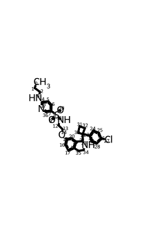 CCCNc1ccc(S(=O)(=O)NCCOc2ccc3c(c2)C(C2(c4ccc(Cl)cc4)CCC2)NCC3)cn1